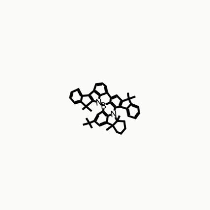 CC(C)(C)c1cc2c3c(c1)C1(C)CCCCC1(C)N3c1c3c(cc4c1-c1ccccc1C4(C)C)-c1cccc4c5c(n(c14)B23)C(C)(C)c1ccccc1-5